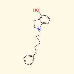 Oc1cccc2c1ccn2CCCCCc1ccccc1